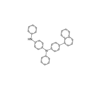 c1ccc(Nc2ccc(N(c3ccccc3)c3ccc(-c4cccc5ccccc45)cc3)cc2)cc1